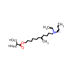 C=C/C=C\N(C=C)CCCCC(=C)CCCCCCOC(=O)C(CCCCCC)CCCCCCCC